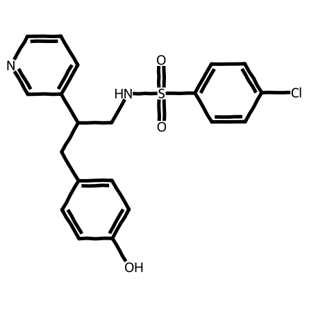 O=S(=O)(NCC(Cc1ccc(O)cc1)c1cccnc1)c1ccc(Cl)cc1